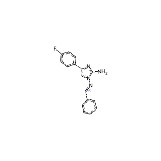 Nc1nc(-c2ccc(F)cc2)cn1/N=C/c1ccccc1